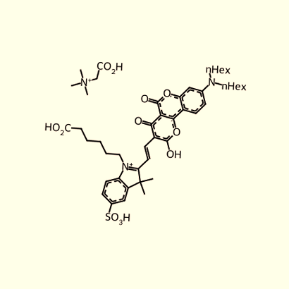 CCCCCCN(CCCCCC)c1ccc2c(c1)oc(=O)c1c(=O)c(/C=C/C3=[N+](CCCCCC(=O)O)c4ccc(S(=O)(=O)O)cc4C3(C)C)c(O)oc12.C[N+](C)(C)CC(=O)O